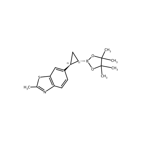 Cc1nc2ccc([C@H]3C[C@@H]3B3OC(C)(C)C(C)(C)O3)cc2s1